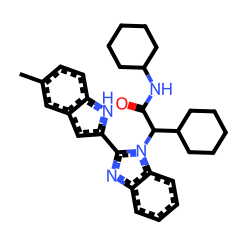 Cc1ccc2[nH]c(-c3nc4ccccc4n3C(C(=O)NC3CCCCC3)C3CCCCC3)cc2c1